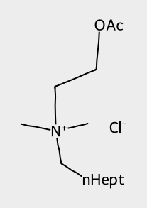 CCCCCCCC[N+](C)(C)CCOC(C)=O.[Cl-]